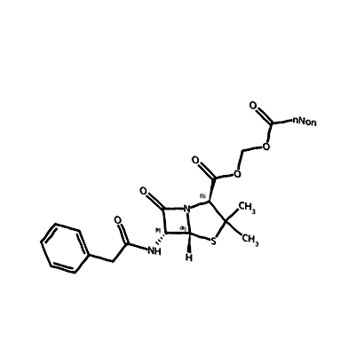 CCCCCCCCCC(=O)OCOC(=O)[C@@H]1N2C(=O)[C@@H](NC(=O)Cc3ccccc3)[C@H]2SC1(C)C